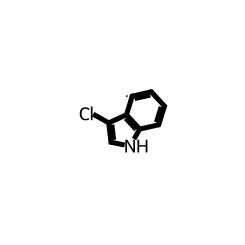 Clc1c[nH]c2ccc[c]c12